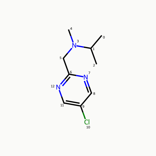 CC(C)N(C)Cc1ncc(Cl)cn1